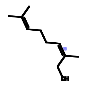 CC(C)=CCC/C=C(/C)CO